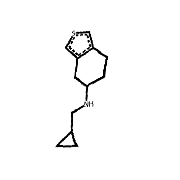 c1scc2c1CCC(NCC1CC1)C2